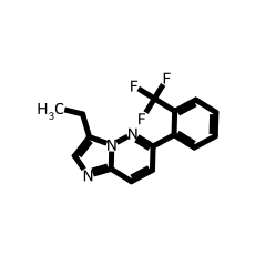 CCc1cnc2ccc(-c3ccccc3C(F)(F)F)nn12